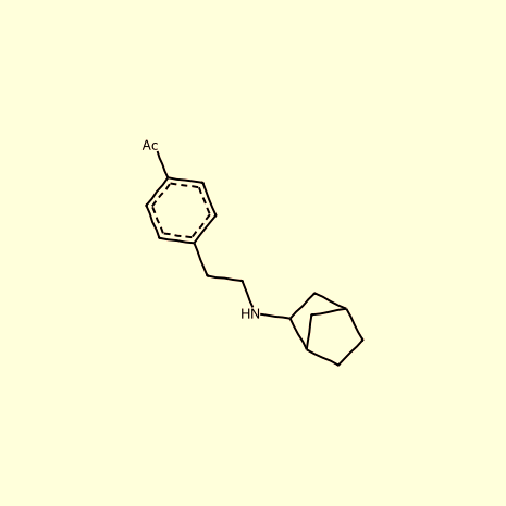 CC(=O)c1ccc(CCNC2CC3CCC2C3)cc1